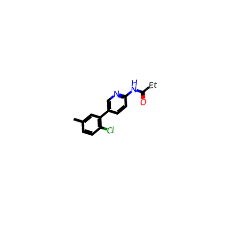 CCC(=O)Nc1ccc(-c2cc(C)ccc2Cl)cn1